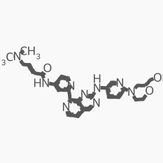 CN(C)CC=CC(=O)Nc1ccnc(-c2nccc3cnc(Nc4ccc(N5CCOC(CO)C5)nc4)nc23)c1